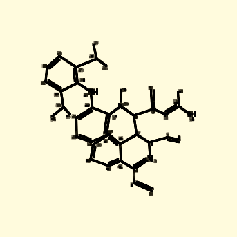 C=CC1=NC(C=C)C(C(C(=C)/C=C(\C)S)N(C)c2ccccc2Nc2c(C(C)C)cccc2C(C)C)c2ccccc21